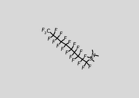 CN(C)[Si](C)(C)C(F)(F)C(F)(F)C(F)(F)C(F)(F)C(F)(F)C(F)(F)C(F)(F)C(F)(F)C(F)(F)C(F)(F)F